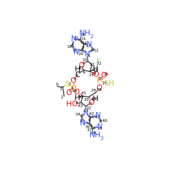 CC(C)SP1(=O)OC[C@H]2O[C@@H](n3cnc4c(N)ncnc43)[C@H](F)[C@@H]2OP(=O)(S)OC[C@H]2O[C@@H](n3cnc4c(N)ncnc43)[C@H](O)[C@@H]2O1